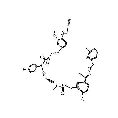 C#CCOc1ccc(CCNC(=O)C(OCC#C)c2ccc(Cl)cc2)cc1OC.COC(=O)NCc1cc(/C(C)=N/OCc2cccc(C)n2)ccc1Cl